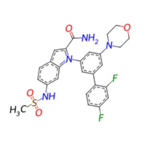 CS(=O)(=O)Nc1ccc2cc(C(N)=O)n(-c3cc(-c4ccc(F)cc4F)cc(N4CCOCC4)c3)c2c1